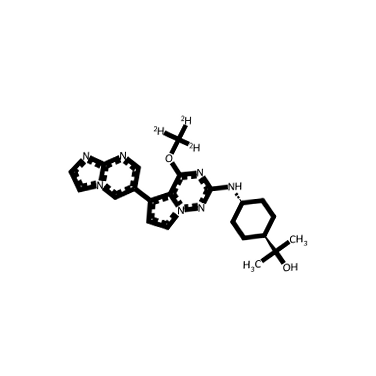 [2H]C([2H])([2H])Oc1nc(N[C@H]2CC[C@H](C(C)(C)O)CC2)nn2ccc(-c3cnc4nccn4c3)c12